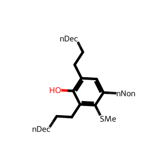 CCCCCCCCCCCCc1cc(CCCCCCCCC)c(SC)c(CCCCCCCCCCCC)c1O